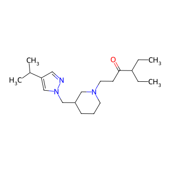 CCC(CC)C(=O)CCN1CCCC(Cn2cc(C(C)C)cn2)C1